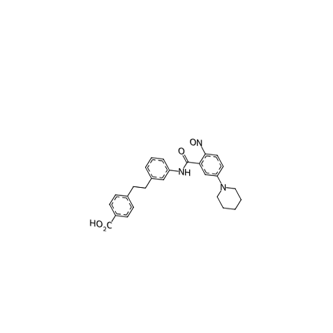 O=Nc1ccc(N2CCCCC2)cc1C(=O)Nc1cccc(CCc2ccc(C(=O)O)cc2)c1